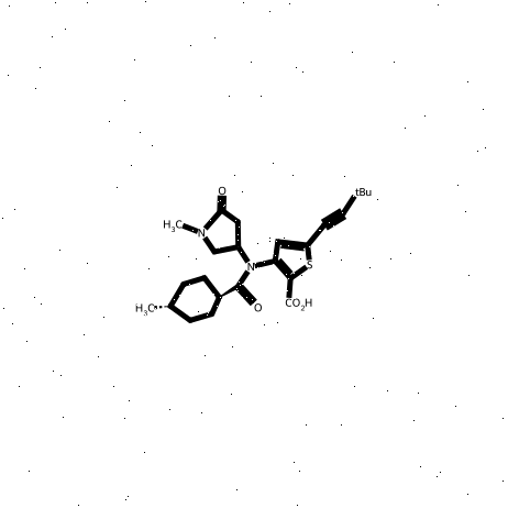 CN1CC(N(c2cc(C#CC(C)(C)C)sc2C(=O)O)C(=O)[C@H]2CC[C@H](C)CC2)CC1=O